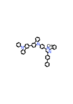 CN1C(c2ccccc2)=NC(c2ccc(-c3ccccc3)cc2)=CC1c1ccc(-n2c3ccccc3c3cc(-c4ccc5c(c4)c4ccccc4n5-c4ccccc4)ccc32)cc1